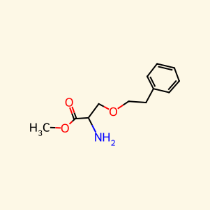 COC(=O)C(N)COCCc1ccccc1